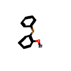 CCOc1ccc[c]c1Sc1ccccc1